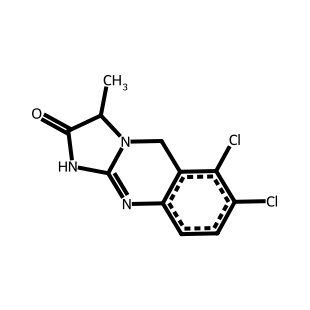 CC1C(=O)NC2=Nc3ccc(Cl)c(Cl)c3CN21